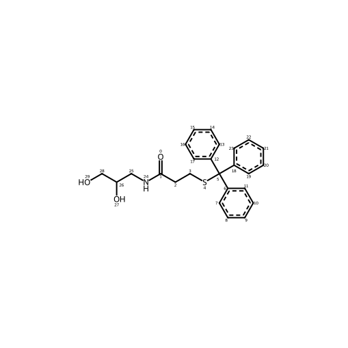 O=C(CCSC(c1ccccc1)(c1ccccc1)c1ccccc1)NCC(O)CO